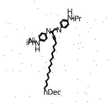 CCCCCCCCCCCCCCCCCCCCCCCCC#CC(/C=N/c1ccc(NC(C)C)cc1)=N\c1ccc(NC(C)C)cc1.[Ni]